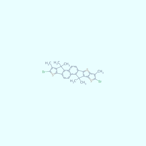 Cc1c(Br)sc2c1C(C)(C)c1c-2ccc2c3c(ccc12)-c1sc2c(C)c(Br)sc2c1C3(C)C